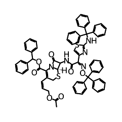 CC(=O)OC/C=C\C1=C(C(=O)OC(c2ccccc2)c2ccccc2)N2C(=O)C(NC(=O)/C(=N\OC(c3ccccc3)(c3ccccc3)c3ccccc3)c3csc(NC(c4ccccc4)(c4ccccc4)c4ccccc4)n3)[C@H]2SC1